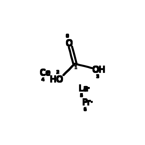 O=C(O)O.[Ce].[La].[Pr]